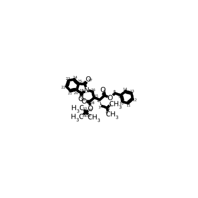 CC(C)C[C@@H](C(=O)OCc1ccccc1)C(CN1C(=O)c2ccccc2C1=O)C(=O)OC(C)(C)C